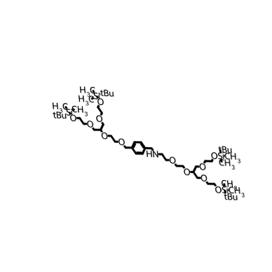 CC(C)(C)[Si](C)(C)OCCOCC(COCCO[Si](C)(C)C(C)(C)C)OCCOCCNCc1ccc(COCCOC(COCCO[Si](C)(C)C(C)(C)C)COCCO[Si](C)(C)C(C)(C)C)cc1